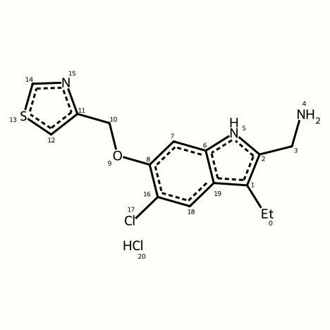 CCc1c(CN)[nH]c2cc(OCc3cscn3)c(Cl)cc12.Cl